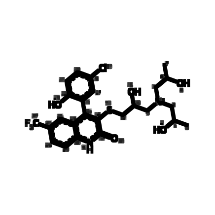 CC(O)CN(CC(C)O)CC(O)CSc1c(-c2cc(Cl)ccc2O)c2cc(C(F)(F)F)ccc2[nH]c1=O